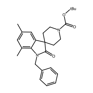 Cc1cc(C)c2c(c1)C1(CCN(C(=O)OC(C)(C)C)CC1)C(=O)N2Cc1ccccc1